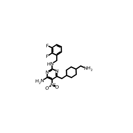 NCC1CCC(Cc2nc(NCc3cccc(F)c3F)nc(N)c2[N+](=O)[O-])CC1